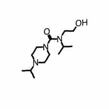 CC(C)N1CCN(C(=O)N(CCO)C(C)C)CC1